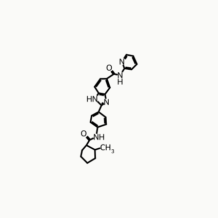 CC1CCCCC1C(=O)Nc1ccc(-c2nc3cc(C(=O)Nc4ccccn4)ccc3[nH]2)cc1